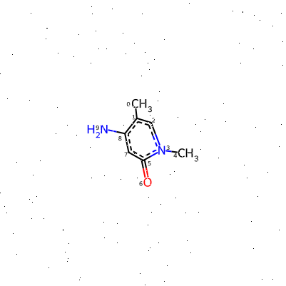 Cc1cn(C)c(=O)cc1N